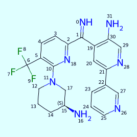 N=C(c1ccc(C(F)(F)F)c(N2CCC[C@H](N)C2)n1)c1cc(-c2cccnc2)ncc1N